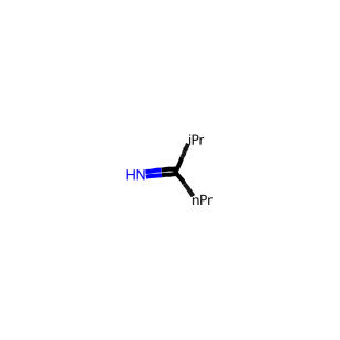 CCCC(=N)C(C)C